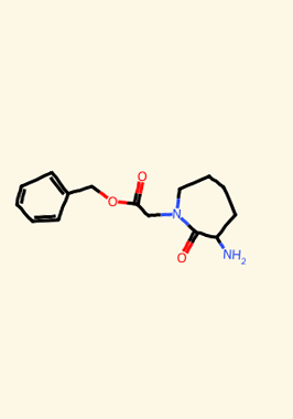 NC1CCCCN(CC(=O)OCc2ccccc2)C1=O